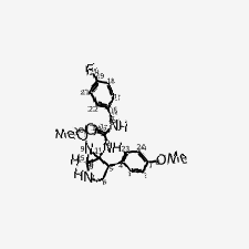 COc1ccc(C2CN[C@H]3N(OC)C23NC(=O)Nc2ccc(F)cc2)cc1